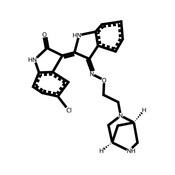 O=C1Nc2ccc(Cl)cc2/C1=C1/Nc2ccccc2/C1=N\OCCN1C[C@H]2C[C@@H]1CN2